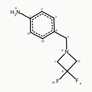 Nc1ccc(CN2CC(F)(F)C2)cc1